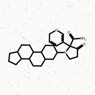 NC(=O)C1(C2=COCC=C2)C(=O)CCN1C1CCC2C(CCC3C4CCCC4CCC23)C1